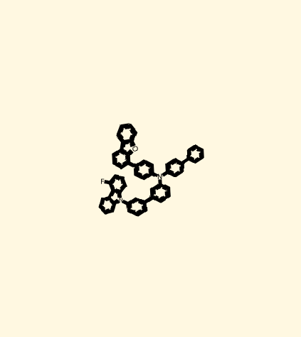 Fc1cccc2c1c1ccccc1n2-c1cccc(-c2cccc(N(c3ccc(-c4ccccc4)cc3)c3ccc(-c4cccc5c4oc4ccccc45)cc3)c2)c1